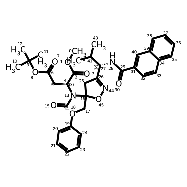 COC(=O)[C@H](CC(=O)OC(C)(C)C)N(C=O)C1(COc2ccccc2)CC([C@@H](NC(=O)c2ccc3ccccc3c2)C(C)C)=NO1